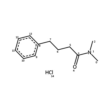 CN(C)C(=O)CCCc1ccccc1.Cl